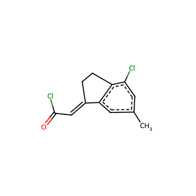 Cc1cc(Cl)c2c(c1)/C(=C/C(=O)Cl)CC2